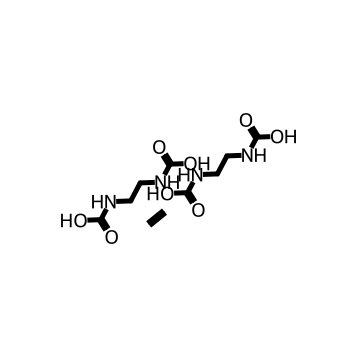 C=C.O=C(O)NCCNC(=O)O.O=C(O)NCCNC(=O)O